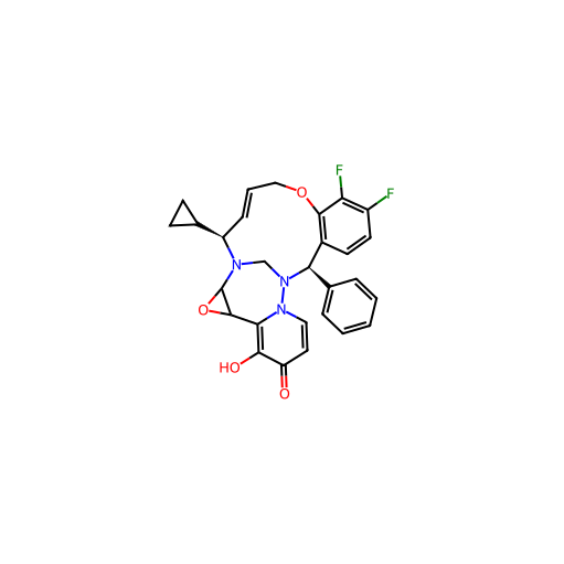 O=c1ccn2c(c1O)C1OC1N1CN2[C@H](c2ccccc2)c2ccc(F)c(F)c2OC/C=C/[C@@H]1C1CC1